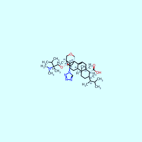 CC(C)[C@@H](C)[C@@]1(C)CC[C@]2(C)[C@H]3CC[C@@H]4[C@@]5(COC[C@]4(C)[C@@H](OC[C@@](C)(C(C)C)N(C)C)[C@H](n4cnnn4)C5)C3=CC[C@@]2(C)[C@@H]1C(=O)O